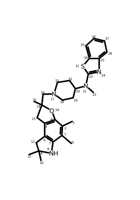 Cc1c(C)c2c(c3c1NC(C)(C)C3)CC(C)(CN1CCC(N(C)c3nc4ccccc4s3)CC1)O2